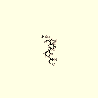 CC(C)(C)CC(=N)c1cccc(-c2cnc3[nH]cc(C(=O)NC(C)(C)C)c3n2)c1